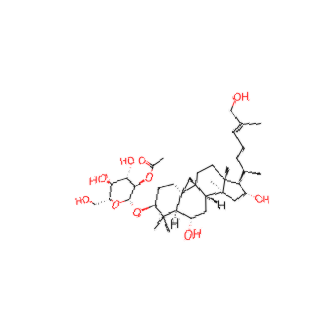 CC(=O)O[C@H]1[C@H](O[C@H]2CC[C@]34C[C@]35CC[C@]3(C)[C@@H]([C@H](C)CC/C=C(\C)CO)[C@H](O)C[C@@]3(C)[C@@H]5C[C@H](O)[C@H]4C2(C)C)O[C@H](CO)[C@@H](O)[C@@H]1O